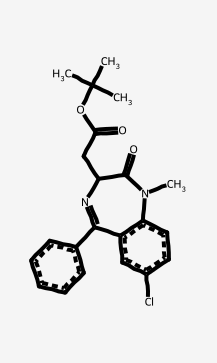 CN1C(=O)C(CC(=O)OC(C)(C)C)N=C(c2ccccc2)c2cc(Cl)ccc21